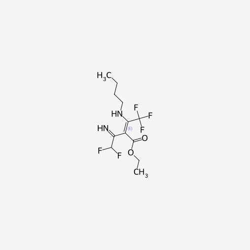 CCCCN/C(=C(\C(=N)C(F)F)C(=O)OCC)C(F)(F)F